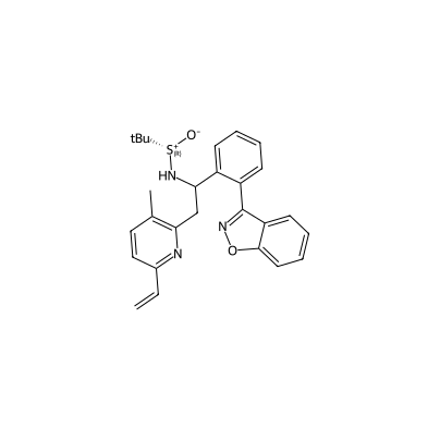 C=Cc1ccc(C)c(CC(N[S@@+]([O-])C(C)(C)C)c2ccccc2-c2noc3ccccc23)n1